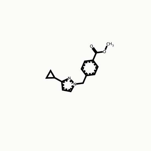 COC(=O)c1ccc(Cn2ccc(C3CC3)n2)cc1